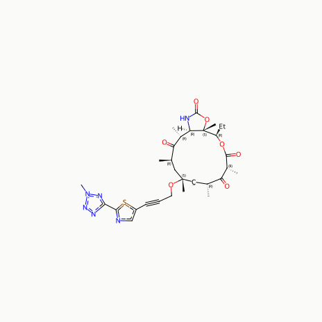 CC[C@H]1OC(=O)[C@H](C)C(=O)[C@H](C)[C][C@](C)(OCC#Cc2cnc(-c3nnn(C)n3)s2)C[C@@H](C)C(=O)[C@H](C)[C@H]2NC(=O)O[C@@]21C